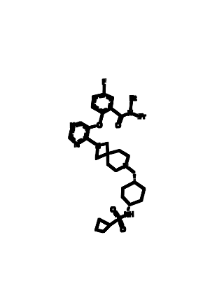 CCN(C(=O)c1cc(F)ccc1Oc1cncnc1N1CC2(CCN(C[C@H]3CC[C@@H](NS(=O)(=O)C4CCC4)CC3)CC2)C1)C(C)C